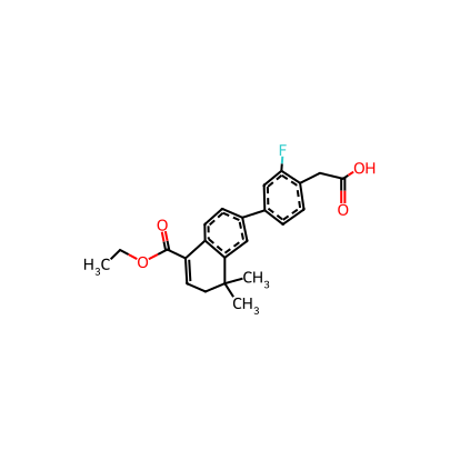 CCOC(=O)C1=CCC(C)(C)c2cc(-c3ccc(CC(=O)O)c(F)c3)ccc21